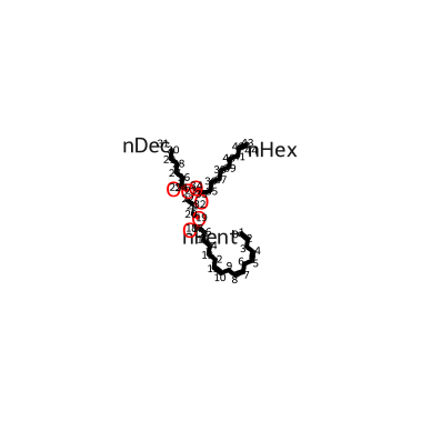 CCCCC/C=C\C/C=C\C/C=C\C/C=C\CCCCCC(=O)OC[C@@H](COC(=O)CCCCCCCCCCCCCCC)OC(=O)CCCCCCC/C=C\CCCCCC